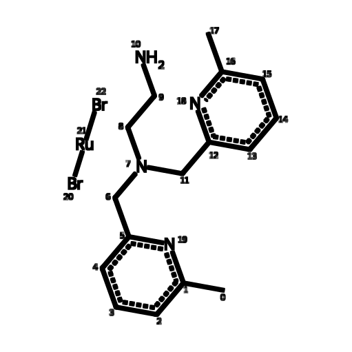 Cc1cccc(CN(CCN)Cc2cccc(C)n2)n1.[Br][Ru][Br]